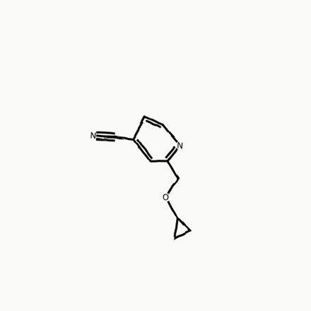 N#Cc1ccnc(COC2CC2)c1